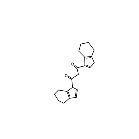 O=C(CC(=O)C1C=CC2=C1CCCC2)C1=CCC2=C1CCCC2